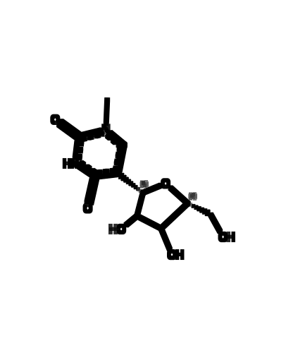 Cn1cc([C@@H]2O[C@H](CO)C(O)C2O)c(=O)[nH]c1=O